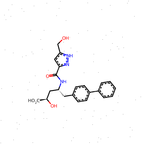 O=C(N[C@H](Cc1ccc(-c2ccccc2)cc1)C[C@@H](O)C(=O)O)c1cc(CO)[nH]n1